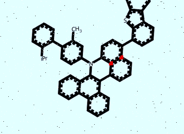 Cc1cc(N(c2ccc(-c3cccc4c3sc3ccccc34)cc2)c2c(-c3ccccc3)c3ccccc3c3ccccc23)ccc1-c1ccccc1C(C)C